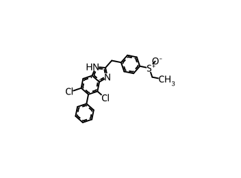 CC[S+]([O-])c1ccc(Cc2nc3c(Cl)c(-c4ccccc4)c(Cl)cc3[nH]2)cc1